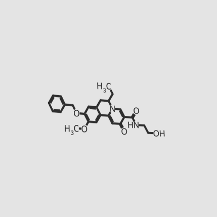 CCC1Cc2cc(OCc3ccccc3)c(OC)cc2-c2cc(=O)c(C(=O)NCCO)cn21